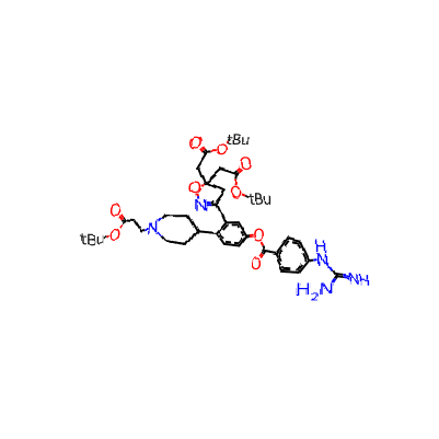 CC(C)(C)OC(=O)CCN1CCC(c2ccc(OC(=O)c3ccc(NC(=N)N)cc3)cc2C2=NOC(CC(=O)OC(C)(C)C)(CC(=O)OC(C)(C)C)C2)CC1